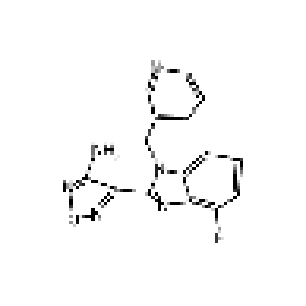 Nc1nonc1-c1nc2c(F)cccc2n1Cc1cccnc1